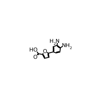 Nc1ccc(-c2ccc(C(=O)O)o2)cc1N